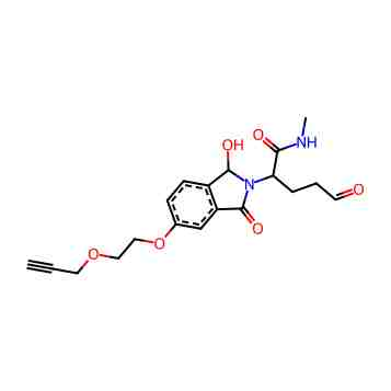 C#CCOCCOc1ccc2c(c1)C(=O)N(C(CCC=O)C(=O)NC)C2O